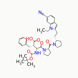 CCn1c(CC[C@@H]2CCCN2C(=O)[C@H]2CCCN2C(=O)C(NC(=O)OC(C)(C)C)[C@H](Cc2ccccc2)C(=O)O)cc2ccc(C#N)cc21